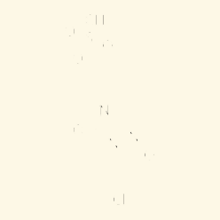 CS(=O)(=O)OCCNC(=O)N(CCCl)N=O